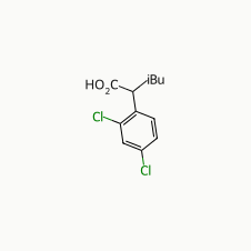 CCC(C)C(C(=O)O)c1ccc(Cl)cc1Cl